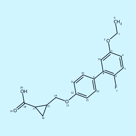 CCOc1ccc(F)c(-c2ccc(OCC3CC3C(=O)O)cc2)c1